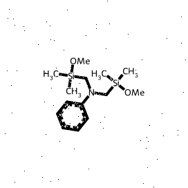 CO[Si](C)(C)CN(C[Si](C)(C)OC)c1ccccc1